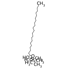 CCCCCCCCCCCCCCCCCCCCCC(O)O[Si](C)(C)C(C)(C)C